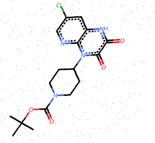 CC(C)(C)OC(=O)N1CCC(n2c(=O)c(=O)[nH]c3cc(Cl)cnc32)CC1